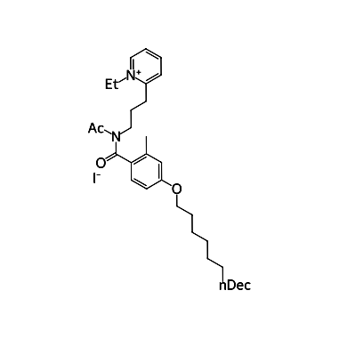 CCCCCCCCCCCCCCCCOc1ccc(C(=O)N(CCCc2cccc[n+]2CC)C(C)=O)c(C)c1.[I-]